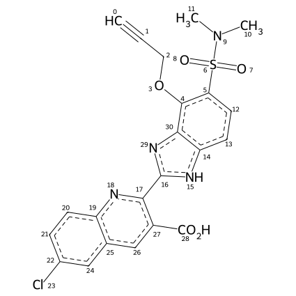 C#CCOc1c(S(=O)(=O)N(C)C)ccc2[nH]c(-c3nc4ccc(Cl)cc4cc3C(=O)O)nc12